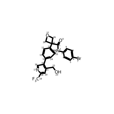 O=C(Nc1ccc(Br)cc1)C1(c2ccc(-c3cnc(C(F)(F)F)cc3CO)cc2)COC1